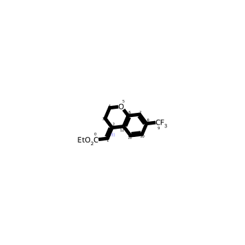 CCOC(=O)/C=C1\CCOc2cc(C(F)(F)F)ccc21